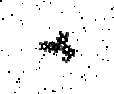 Cn1cnc2cc(-c3nc(F)c(F)cc3-c3cnn(CC4(C)CCCC4)c3)cnc21